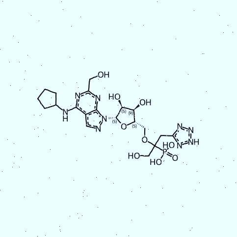 O=P(O)(O)C(CO)(Cc1nn[nH]n1)OC[C@@H]1O[C@H](n2ncc3c(NC4CCCC4)nc(CO)nc32)[C@@H](O)[C@H]1O